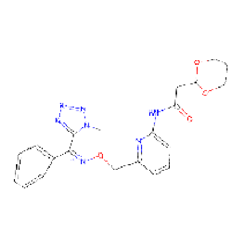 Cn1nnnc1/C(=N\OCc1cccc(NC(=O)CC2OCCCO2)n1)c1ccccc1